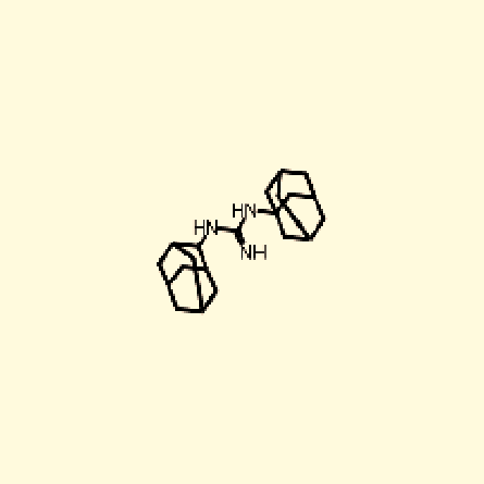 N=C(NC1C2CC3CC(C2)CC1C3)NC12CC3CC(CC(C3)C1)C2